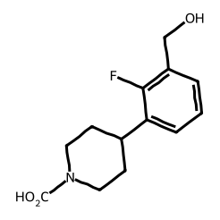 O=C(O)N1CCC(c2cccc(CO)c2F)CC1